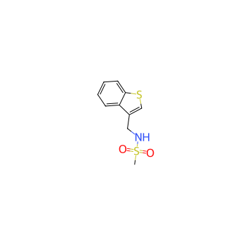 CS(=O)(=O)NCc1csc2ccccc12